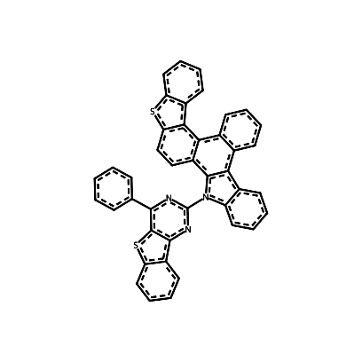 c1ccc(-c2nc(-n3c4ccccc4c4c5ccccc5c5c(ccc6sc7ccccc7c65)c43)nc3c2sc2ccccc23)cc1